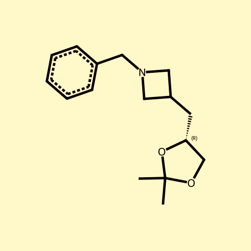 CC1(C)OC[C@@H](CC2CN(Cc3ccccc3)C2)O1